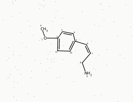 COc1ccc(/C=C\CN)cc1